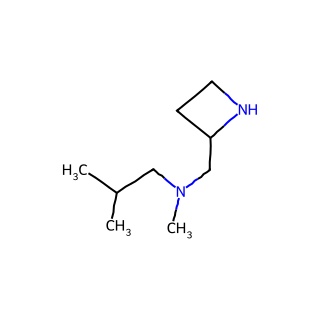 CC(C)CN(C)CC1CCN1